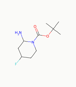 CC(C)(C)OC(=O)N1CCC(F)CC1N